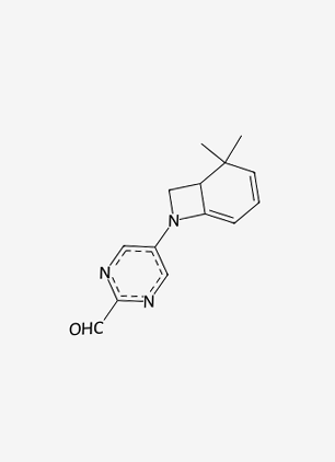 CC1(C)C=CC=C2C1CN2c1cnc(C=O)nc1